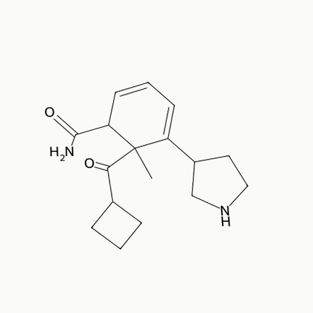 CC1(C(=O)C2CCC2)C(C2CCNC2)=CC=CC1C(N)=O